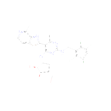 Cc1nc(N[C@H](C)c2c(F)c(F)cc(F)c2F)nc(N[C@@H]2C[C@H](CO)[C@@H](O)[C@H]2O)c1-c1nc2c(C)nccc2s1